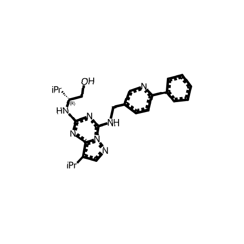 CC(C)c1cnn2c(NCc3ccc(-c4ccccc4)nc3)nc(N[C@@H](CO)C(C)C)nc12